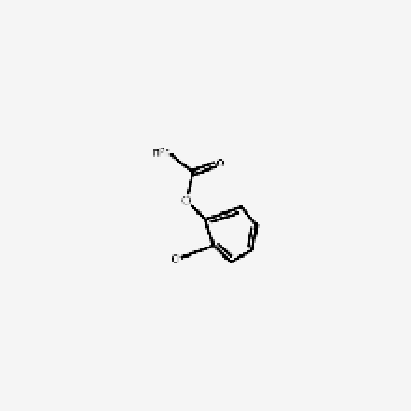 CCCC(=O)Oc1ccccc1Cl